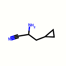 N#CC(N)CC1CC1